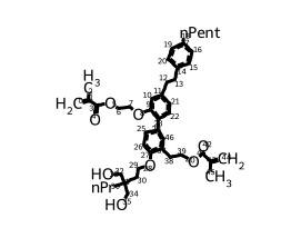 C=C(C)C(=O)OCCOc1cc(CCc2ccc(CCCCC)cc2)ccc1-c1ccc(OCCC(CO)(CO)CCC)c(CCOC(=O)C(=C)C)c1